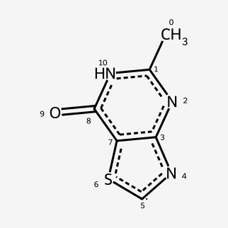 Cc1nc2n[c]sc2c(=O)[nH]1